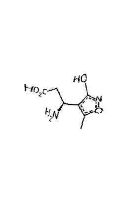 Cc1onc(O)c1[C@@H](N)CC(=O)O